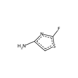 Nc1csc(F)n1